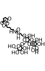 O=C(NCCCCC(=O)ON1C(=O)CCC1=O)NCCO[C@@H]1O[C@H](CO[C@H]2O[C@H](CO)[C@@H](O)[C@H](O)[C@@H]2O)[C@@H](O)[C@H](O[C@H]2O[C@H](CO)[C@@H](O)[C@H](O)[C@@H]2O)[C@@H]1O